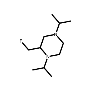 CC(C)N1CCN(C(C)C)C(CF)C1